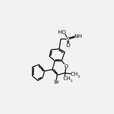 CC1(C)Oc2cc(CS(=N)(=O)O)ccc2C(c2ccccc2)=C1Br